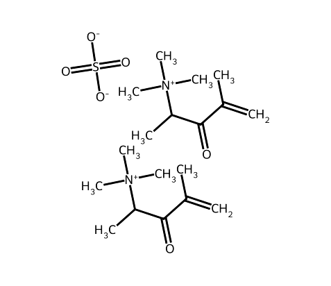 C=C(C)C(=O)C(C)[N+](C)(C)C.C=C(C)C(=O)C(C)[N+](C)(C)C.O=S(=O)([O-])[O-]